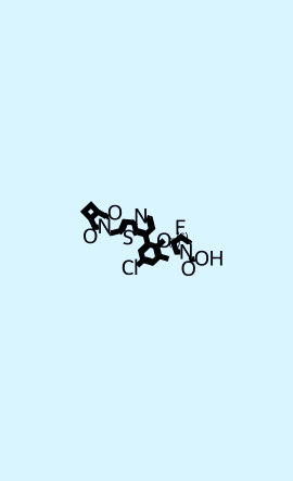 Cc1cc(Cl)cc(-c2ccnc3cc(CN4C(=O)C5CCC5C4=O)sc23)c1O[C@@H]1CN(C(=O)O)C[C@@H]1F